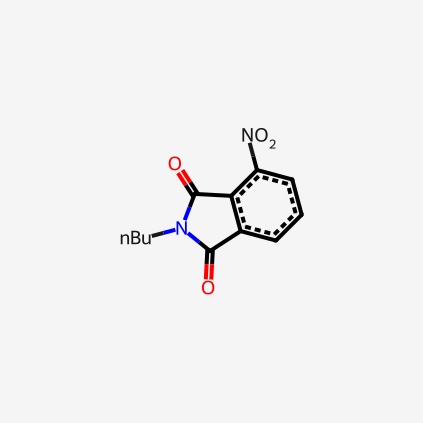 CCCCN1C(=O)c2cccc([N+](=O)[O-])c2C1=O